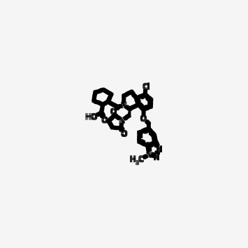 Cn1nnc2cc(COc3ccc(Cl)c4c3[C@@H](CN3CCCC3=O)N(C(=O)C3CCCCC3C(=O)O)CC4)ccc21